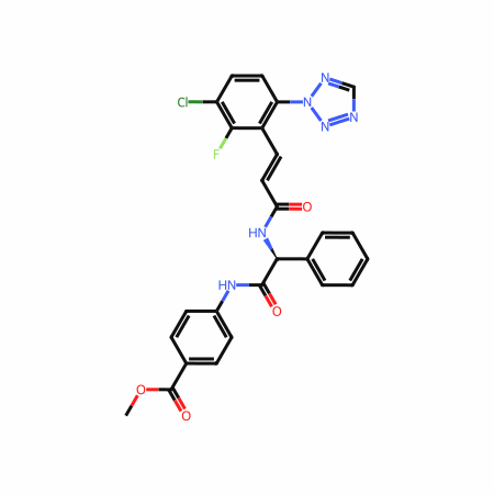 COC(=O)c1ccc(NC(=O)[C@@H](NC(=O)/C=C/c2c(-n3ncnn3)ccc(Cl)c2F)c2ccccc2)cc1